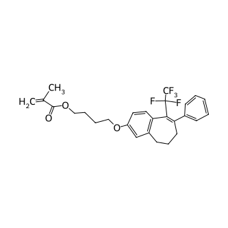 C=C(C)C(=O)OCCCCOc1ccc2c(c1)CCCC(c1ccccc1)=C2C(F)(F)C(F)(F)F